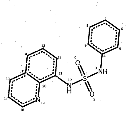 O=S(=O)(Nc1ccccc1)Nc1cccc2cccnc12